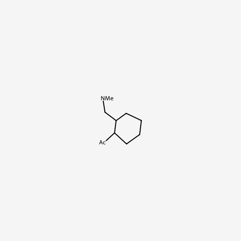 CNCC1CCCCC1C(C)=O